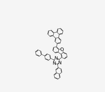 c1ccc(-c2ccc(-c3nc(-c4ccc5ccccc5c4)nc(-c4cccc5oc6c(-c7ccc8c9ccccc9c9ccccc9c8c7)cccc6c45)n3)cc2)cc1